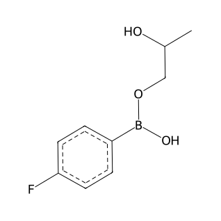 CC(O)COB(O)c1ccc(F)cc1